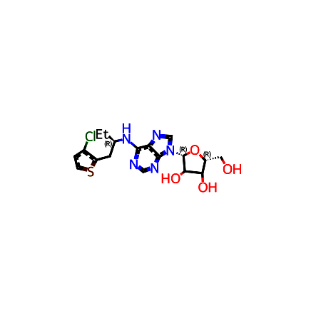 CC[C@H](Cc1sccc1Cl)Nc1ncnc2c1ncn2[C@@H]1O[C@H](CO)C(O)C1O